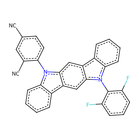 N#Cc1ccc(-n2c3ccccc3c3cc4c(cc32)c2ccccc2n4-c2c(F)cccc2F)c(C#N)c1